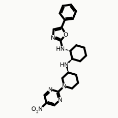 O=[N+]([O-])c1cnc(N2CCC[C@H](N[C@@H]3CCCC[C@H]3Nc3ncc(-c4ccccc4)o3)C2)nc1